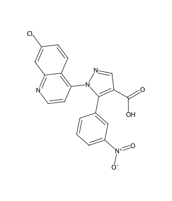 O=C(O)c1cnn(-c2ccnc3cc(Cl)ccc23)c1-c1cccc([N+](=O)[O-])c1